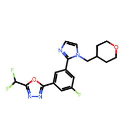 Fc1cc(-c2nnc(C(F)F)o2)cc(-c2nccn2CC2CCOCC2)c1